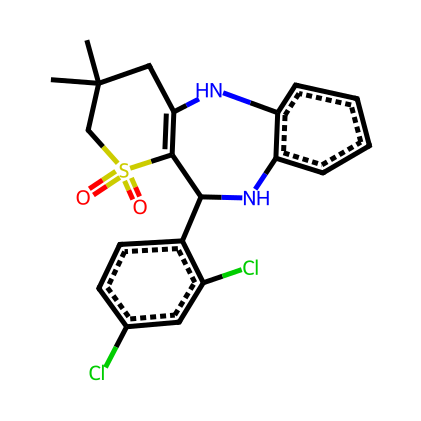 CC1(C)CC2=C(C(c3ccc(Cl)cc3Cl)Nc3ccccc3N2)S(=O)(=O)C1